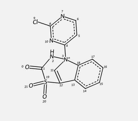 O=C1N[N+]2(c3ccnc(Cl)n3)C=C(c3ccccc32)S1(=O)=O